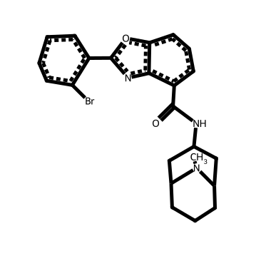 CN1C2CCCC1CC(NC(=O)c1cccc3oc(-c4ccccc4Br)nc13)C2